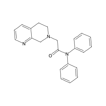 O=C(CN1CCc2cccnc2C1)N(c1ccccc1)c1ccccc1